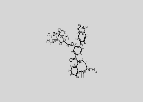 C[C@H]1CCN(C(=O)c2ccc(-c3ccc4c(c3)CCN4)c(OCCCN(C)C(C)(C)C)c2)c2ccccc2N1